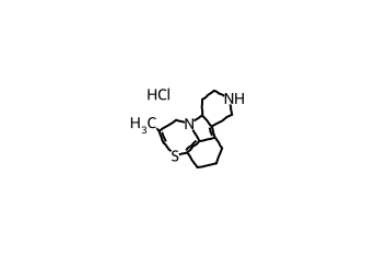 CC1=CSC2=C3C(=C4CNCCC4N3C1)CCC2.Cl